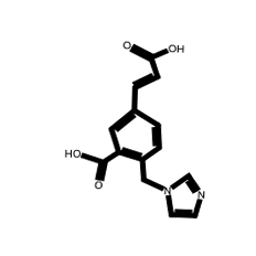 O=C(O)C=Cc1ccc(Cn2ccnc2)c(C(=O)O)c1